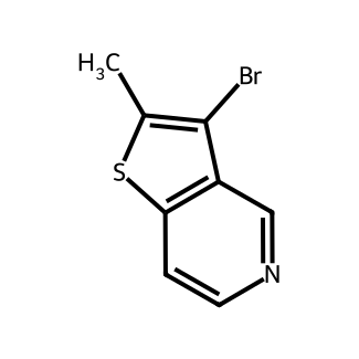 Cc1sc2ccncc2c1Br